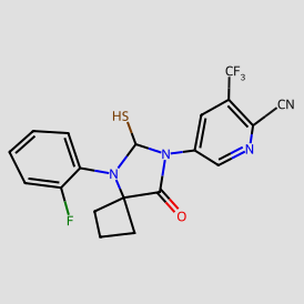 N#Cc1ncc(N2C(=O)C3(CCC3)N(c3ccccc3F)C2S)cc1C(F)(F)F